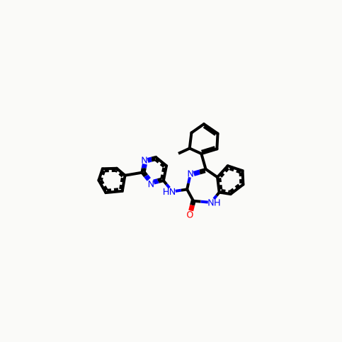 CC1CC=CC=C1C1=NC(Nc2ccnc(-c3ccccc3)n2)C(=O)Nc2ccccc21